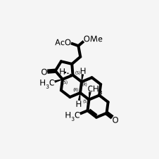 COC(CC1CC(=O)[C@@]2(C)CC[C@@H]3[C@@H](CCC4CC(=O)C=C(C)[C@@]43C)[C@H]12)OC(C)=O